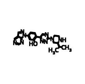 CC(C)C1CN(c2ncc(-c3ccc(-n4ncc5cncnc54)cc3O)nn2)CCN1